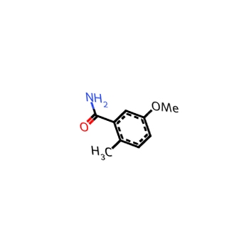 COc1ccc(C)c(C(N)=O)c1